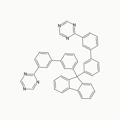 c1cc(-c2cccc(C3(c4cccc(-c5cccc(-c6ncncn6)c5)c4)c4ccccc4-c4ccccc43)c2)cc(-c2ncncn2)c1